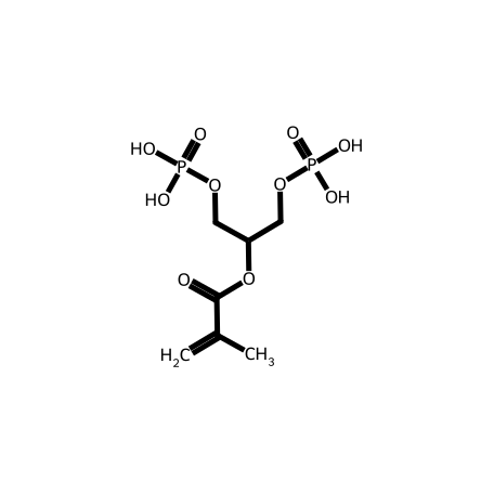 C=C(C)C(=O)OC(COP(=O)(O)O)COP(=O)(O)O